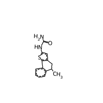 CC1Cc2cc(NC(N)=O)sc2-c2ccccc21